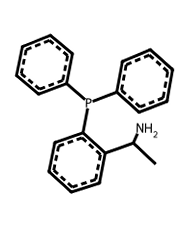 CC(N)c1ccccc1P(c1ccccc1)c1ccccc1